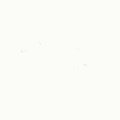 CNCCn1cccc(-c2ccc(C(=O)Nc3c(O)cccc3C(=O)Nc3ccc(Cl)cn3)cc2)c1=O